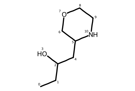 CCC(O)CC1COCCN1